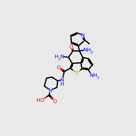 Cc1ncccc1C1(N)C(=O)C(N)c2c(C(=O)NC3CCCN(C(=O)O)C3)sc3c(N)ccc1c23